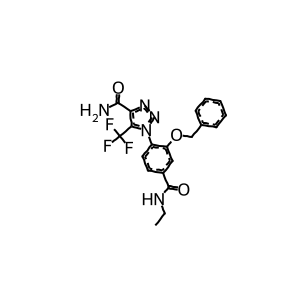 CCNC(=O)c1ccc(-n2nnc(C(N)=O)c2C(F)(F)F)c(OCc2ccccc2)c1